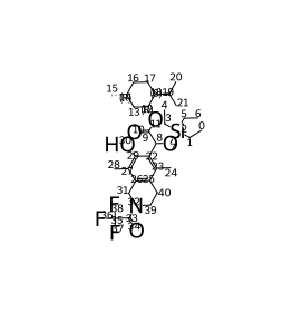 CC[Si](CC)(CC)OC(C(=O)O[C@@H]1C[C@H](C)CC[C@H]1C(C)C)c1c(C)c2c(c(C)c1O)CN(C(=O)C(F)(F)F)CC2